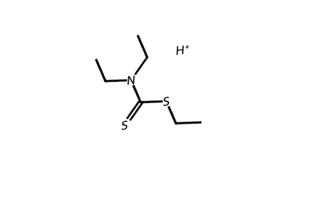 CCSC(=S)N(CC)CC.[H+]